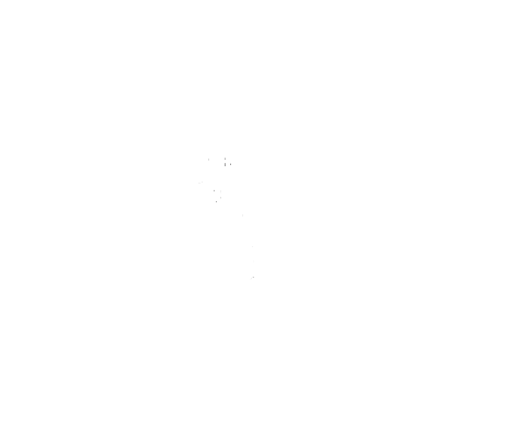 Fc1cccc(-c2ccc(CN3CCNCC3)c(F)c2)c1